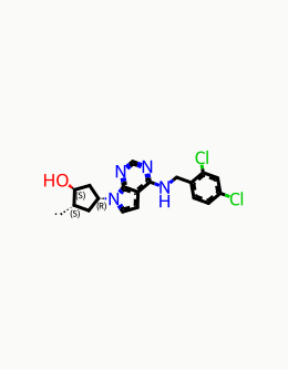 [CH2][C@H]1C[C@@H](n2ccc3c(NCc4ccc(Cl)cc4Cl)ncnc32)C[C@@H]1O